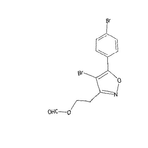 O=COCCc1noc(-c2ccc(Br)cc2)c1Br